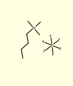 CCCC[N+](C)(C)C.F[P-](F)(F)(F)(F)F